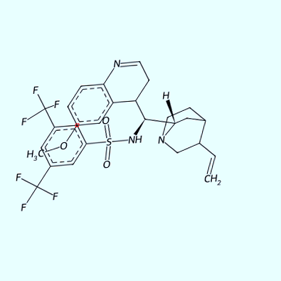 C=CC1CN2CCC1C[C@H]2[C@@H](NS(=O)(=O)c1cc(C(F)(F)F)cc(C(F)(F)F)c1)C1CC=Nc2ccc(OC)cc21